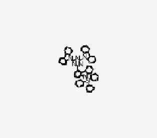 c1ccc([Si](c2ccccc2)(c2ccccc2)n2c3ccccc3c3c(-c4nc(-n5c6ccccc6c6ccccc65)nc(-n5c6ccccc6c6ccccc65)n4)cccc32)cc1